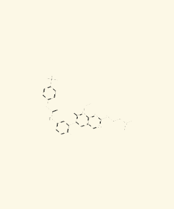 COn1c(=O)c(-c2cc(NC(=O)Nc3ccc(C(F)(F)F)cc3)ccc2Cl)cc2cnc(NCCN(C)C)nc21